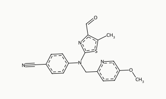 COc1ccc(CN(c2ccc(C#N)cc2)c2nc(C=O)c(C)s2)nc1